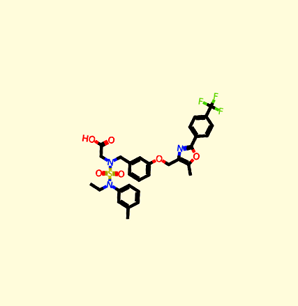 CCN(c1cccc(C)c1)S(=O)(=O)N(CC(=O)O)Cc1cccc(OCc2nc(-c3ccc(C(F)(F)F)cc3)oc2C)c1